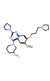 COc1cc2c(N3CCCC(N)C3)nc(N3CCCC3)nc2cc1OCCCN1CCCC1